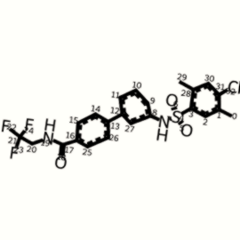 Cc1cc(S(=O)(=O)Nc2cccc(-c3ccc(C(=O)NCC(F)(F)F)cc3)c2)c(C)cc1Cl